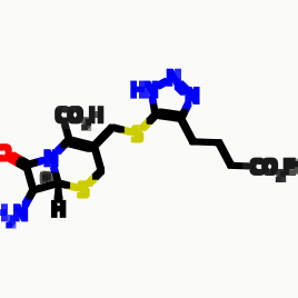 CCOC(=O)CCCc1nn[nH]c1SCC1=C(C(=O)O)N2C(=O)C(N)[C@H]2SC1